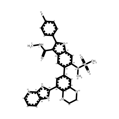 CNC(=O)c1c(-c2ccc(F)cc2)oc2cc(N(C)S(C)(=O)=O)c(-c3cc4c(c(-c5nc6ncccc6o5)c3)OCCO4)cc12